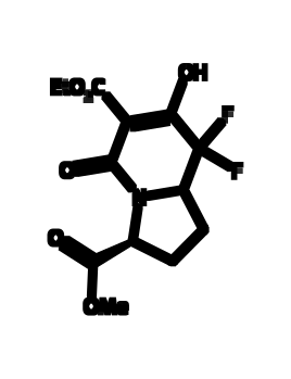 CCOC(=O)C1=C(O)C(F)(F)C2CC[C@@H](C(=O)OC)N2C1=O